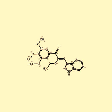 CCOC(=Cc1c[nH]c2ccccc12)C(=O)c1cc(OC)c(OC)c(OC)c1